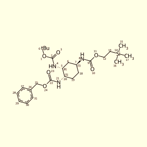 CC(C)(C)OC(=O)N[C@@H]1C[C@@H](NC(=O)OCC[Si](C)(C)C)CC[C@@H]1NC(=O)OCc1ccccc1